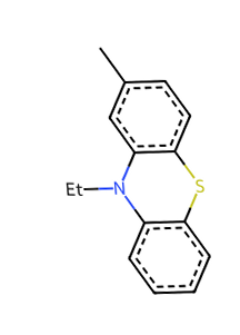 CCN1c2ccccc2Sc2ccc(C)cc21